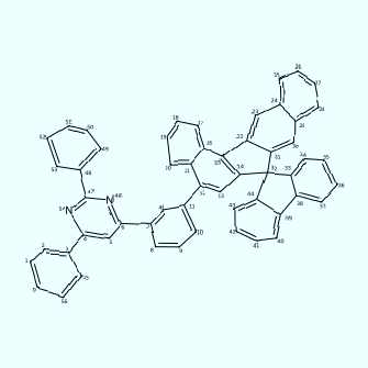 c1ccc(-c2cc(-c3cccc(-c4cc5c(c6ccccc46)-c4cc6ccccc6cc4C54c5ccccc5-c5ccccc54)c3)nc(-c3ccccc3)n2)cc1